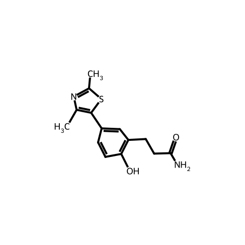 Cc1nc(C)c(-c2ccc(O)c(CCC(N)=O)c2)s1